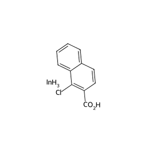 O=C(O)c1ccc2ccccc2c1Cl.[InH3]